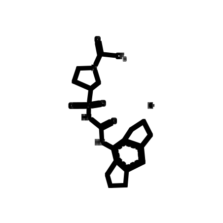 O=C(Nc1c2c(cc3c1CCC3)CCC2)NS(=O)(=O)C1CCN(C(=O)C(F)(F)F)C1.[K]